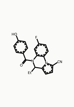 CCC1c2ccc(C#N)n2-c2ccc(F)cc2N1C(=O)c1ccc(O)cc1